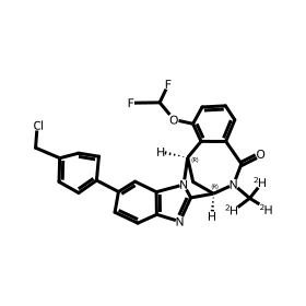 [2H]C([2H])([2H])N1C(=O)c2cccc(OC(F)F)c2[C@H]2C[C@@H]1c1nc3ccc(-c4ccc(CCl)cc4)cc3n12